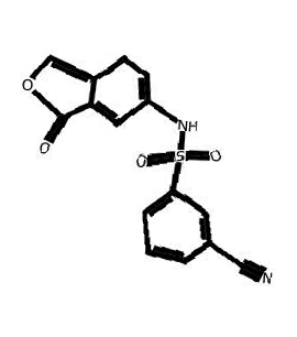 N#Cc1cccc(S(=O)(=O)NC2=CCC3=COC(=O)C3=C2)c1